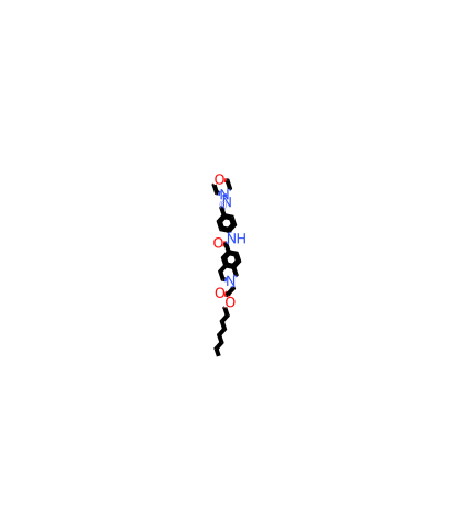 CCCCCCCCOC(=O)CN1CCc2cc(C(=O)Nc3ccc(/C=N/N4CCOCC4)cc3)ccc2C1